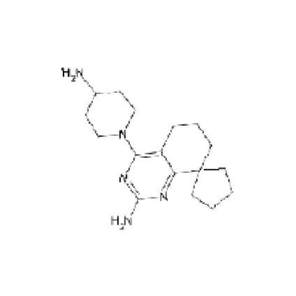 Nc1nc(N2CCC(N)CC2)c2c(n1)C1(CCCC1)CCC2